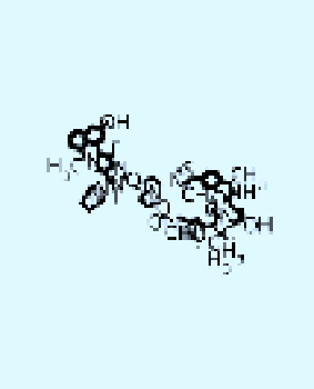 CCc1cccc2cc(O)cc(-c3ncc4c(N5CC6CCC(C5)N6)nc(OC[C@@]56CCCN5[C@@H](OC(=O)N(C)Cc5cc([C@@H](C(=O)n7cc(O)cc7C(=O)N[C@@H](C)c7ccc(-c8scnc8C)cc7)C(C)C)on5)CC6)nc4c3F)c12